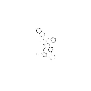 Cc1cc(C=CC(=O)N(Cc2ccc(N3CCOCC3)cc2)C(Cc2ccccc2)C(=O)N2CCc3ccccc3C2)n(C)n1